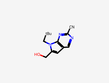 CC(C)(C)Cn1c(CO)cc2cnc(C#N)nc21